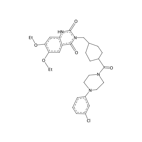 CCOc1cc2[nH]c(=O)n(CC3CCC(C(=O)N4CCN(c5cccc(Cl)c5)CC4)CC3)c(=O)c2cc1OCC